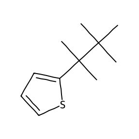 CC(C)(C)C(C)(C)c1cccs1